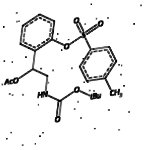 CC(=O)OC(CNC(=O)OC(C)(C)C)c1ccccc1OS(=O)(=O)c1ccc(C)cc1